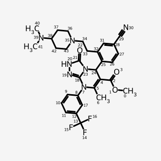 COC(=O)C1=C(C)N(c2cccc(C(F)(F)F)c2)c2n[nH]c(=O)n2C1c1ccc(C#N)cc1CCN1CCC(N(C)C)CC1